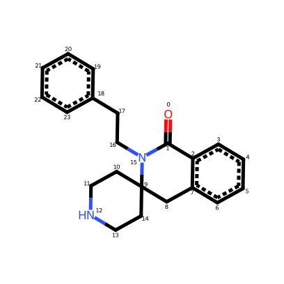 O=C1c2ccccc2CC2(CCNCC2)N1CCc1ccccc1